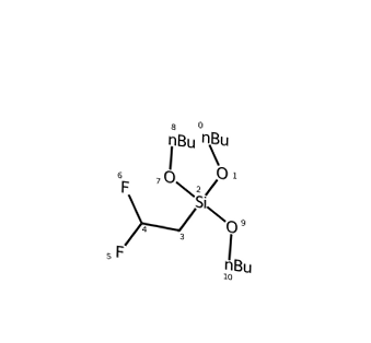 CCCCO[Si](CC(F)F)(OCCCC)OCCCC